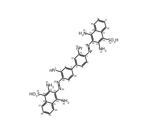 CCCc1cc(-c2ccc(/N=N/c3c(N)c(S(=O)(=O)O)c4ccccc4c3N)c(CCC)c2)ccc1/N=N/c1c(N)c(S(=O)(=O)O)c2ccccc2c1N